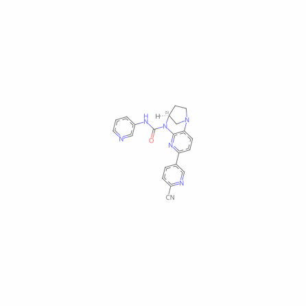 N#Cc1ccc(-c2ccc3c(n2)N(C(=O)Nc2cccnc2)[C@H]2CCN3C2)cn1